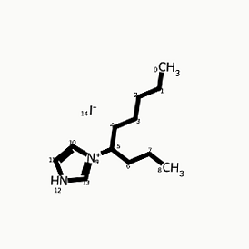 CCCCCC(CCC)[n+]1cc[nH]c1.[I-]